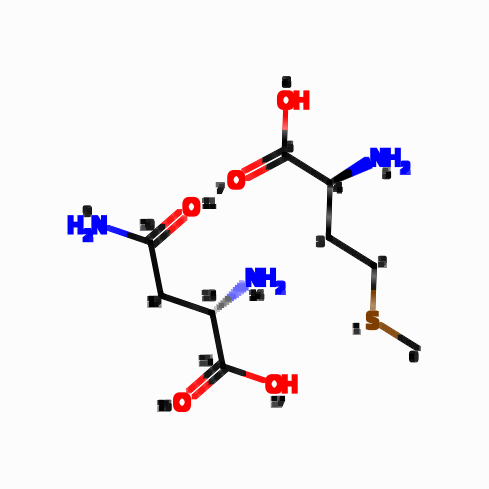 CSCC[C@H](N)C(=O)O.NC(=O)C[C@H](N)C(=O)O